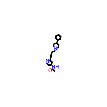 CC(=O)Nc1ccnc(C#CCCN2CC=C(c3ccccc3)CC2)c1